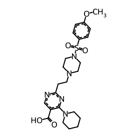 COc1ccc(S(=O)(=O)N2CCN(CCc3ncc(C(=O)O)c(N4CCCCC4)n3)CC2)cc1